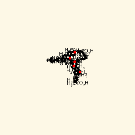 CC(C)C1=C2[C@H]3CCC4[C@@]5(C)CC[C@H](OC(=O)CC(C)(Cc6nc(-c7nnc(N[C@@]89CC[C@]%10(C)[C@H](CCC%11[C@@]%12(C)CC[C@H](OC(=O)CC(C)(C)C(=O)O)C(C)(C)[C@@H]%12CC[C@]%11%10C)C8=C(C(C)C)C(=O)C9)o7)ccc6F)C(=O)O)C(C)(C)C5CC[C@@]4(C)[C@]3(C)CCC2(Nc2nnc(-c3ncc(F)cn3)o2)CC1=O